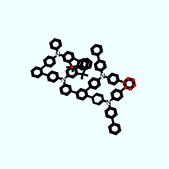 CC1(C)c2ccccc2-c2ccc(N(c3ccccc3)c3ccc(-c4ccccc4-c4ccc(N(c5cccc(-c6ccc(C7C=CC(N(c8ccc(-c9ccccc9)cc8)c8ccc(-c9ccccc9)cc8)=CC7)c(-c7ccc(N(c8ccc(-c9ccccc9)cc8)c8ccc(-c9ccccc9)cc8)cc7)c6)c5)c5ccc6c(c5)C(C)(C)c5ccccc5-6)cc4)cc3)cc21